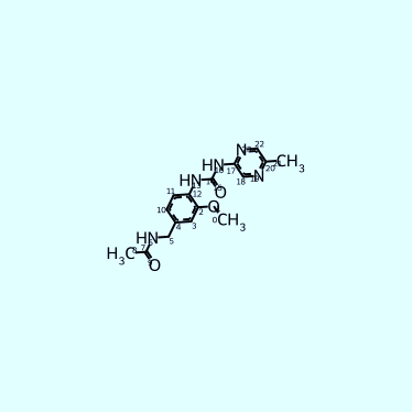 COc1cc(CNC(C)=O)ccc1NC(=O)Nc1cnc(C)cn1